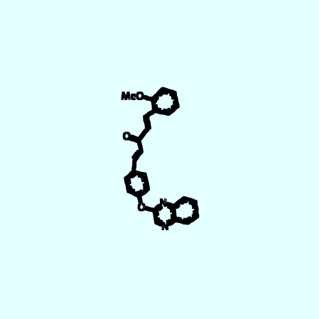 COc1ccccc1C=CC(=O)C=Cc1ccc(Oc2cnc3ccccc3n2)cc1